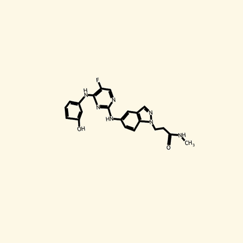 CNC(=O)CCn1ncc2cc(Nc3ncc(F)c(Nc4cccc(O)c4)n3)ccc21